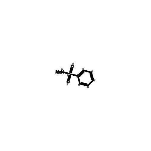 [CH2-][NH2+]S(=O)(=O)c1ccccc1